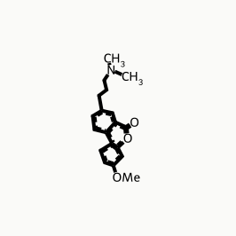 COc1ccc2c(c1)oc(=O)c1cc(CCCN(C)C)ccc12